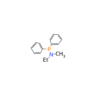 CCN(C)P(c1ccccc1)c1ccccc1